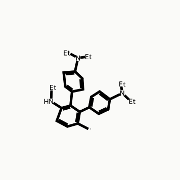 [CH2]c1ccc(NCC)c(-c2ccc(N(CC)CC)cc2)c1-c1ccc(N(CC)CC)cc1